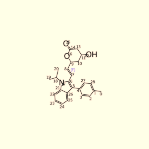 Cc1ccc(-c2c(/C=C/C3CC(O)CC(=O)O3)n(C(C)C)c3ccccc23)cc1